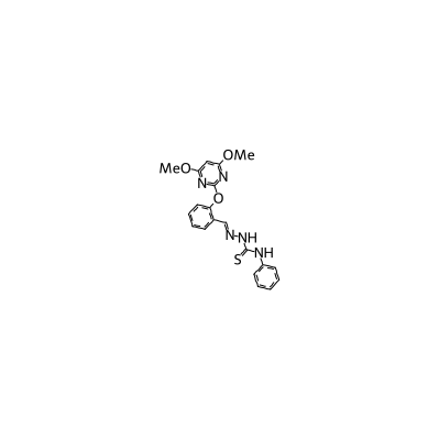 COc1cc(OC)nc(Oc2ccccc2C=NNC(=S)Nc2ccccc2)n1